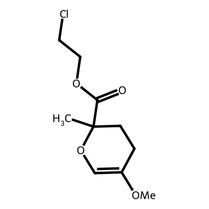 COC1=COC(C)(C(=O)OCCCl)CC1